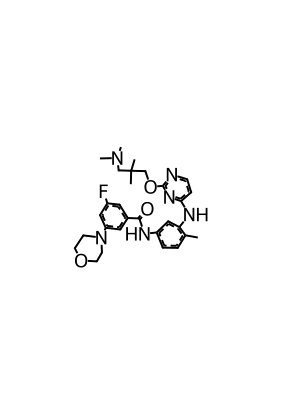 Cc1ccc(NC(=O)c2cc(F)cc(N3CCOCC3)c2)cc1Nc1ccnc(OCC(C)(C)CN(C)C)n1